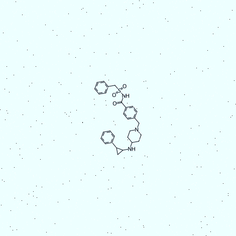 O=C(NS(=O)(=O)Cc1ccccc1)c1ccc(CN2CCC(NC3CC3c3ccccc3)CC2)cc1